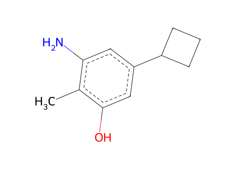 Cc1c(N)cc(C2CCC2)cc1O